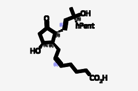 CCCCC[C@](C)(O)/C=C/[C@H]1C(=O)C[C@H](O)[C@@H]1C/C=C\CCCC(=O)O